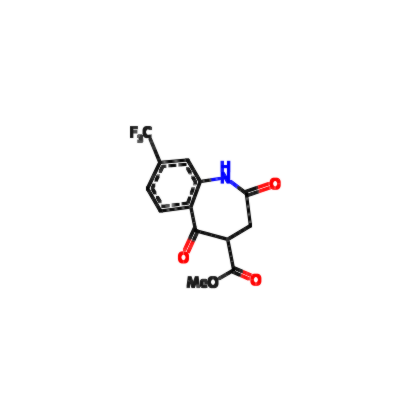 COC(=O)C1CC(=O)Nc2cc(C(F)(F)F)ccc2C1=O